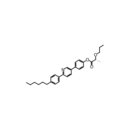 CCCCCCc1ccc(-c2ccc(-c3ccc(OC(=O)[C@@H](C)OCCC)cc3)cn2)cc1